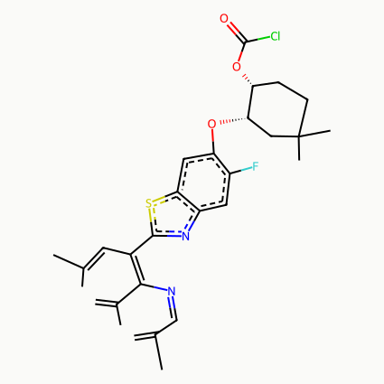 C=C(C)/C=N\C(C(=C)C)=C(\C=C(C)C)c1nc2cc(F)c(O[C@H]3CC(C)(C)CC[C@H]3OC(=O)Cl)cc2s1